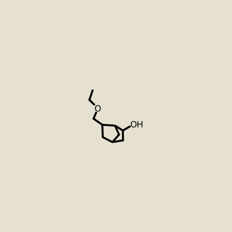 CCOCC1CC2CC(O)C1C2